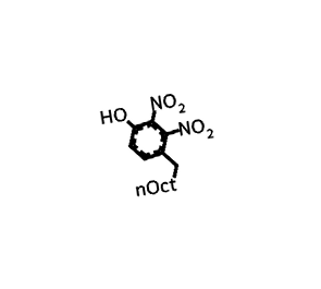 CCCCCCCCCc1ccc(O)c([N+](=O)[O-])c1[N+](=O)[O-]